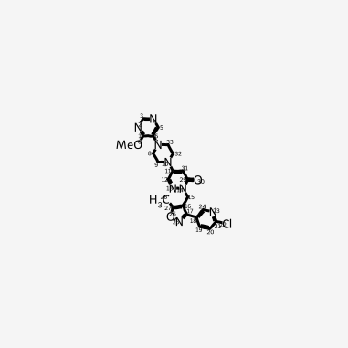 COc1ncncc1N1CCN(c2cnn(Cc3c(-c4ccc(Cl)nc4)noc3C)c(=O)c2)CC1